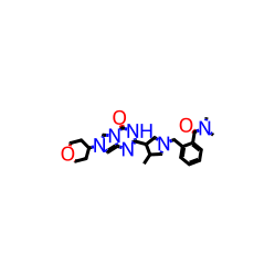 CC1CN(Cc2ccccc2C(=O)N(C)C)CC1C1=NC2=CN(C3CCOCC3)CN2C(=O)N1